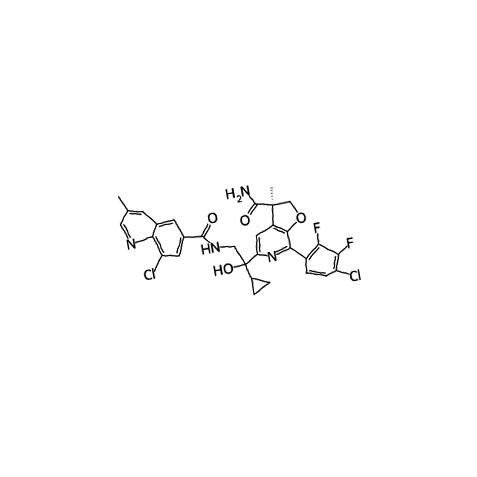 Cc1cnc2c(Cl)cc(C(=O)NCC(O)(c3cc4c(c(-c5ccc(Cl)c(F)c5F)n3)OC[C@]4(C)C(N)=O)C3CC3)cc2c1